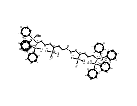 CC(C)(C)[Si](c1ccccc1)(c1ccccc1)N(CCCC(CCOCCC(CCCN([Si](c1ccccc1)(c1ccccc1)C(C)(C)C)[Si](c1ccccc1)(c1ccccc1)C(C)(C)C)[Si](Cl)(Cl)Cl)[Si](Cl)(Cl)Cl)[Si](c1ccccc1)(c1ccccc1)C(C)(C)C